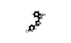 Clc1ccc(-n2cc(-c3n[nH]c4ccccc34)nn2)cn1